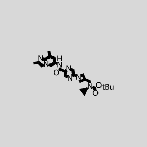 Cc1cn2cc(NC(=O)c3cnc(N4CC(CN(C(=O)OC(C)(C)C)C5CC5)C4)cn3)cc(C)c2n1